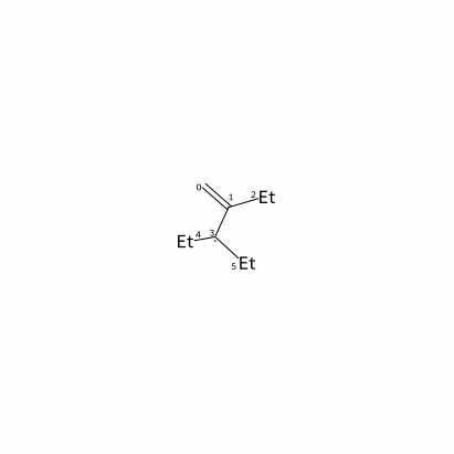 C=C(CC)[C](CC)CC